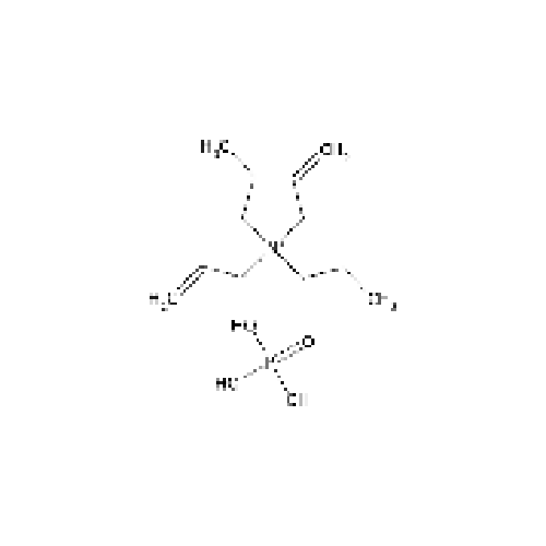 C=CC[N+](CC=C)(CCC)CCC.O=P(O)(O)O